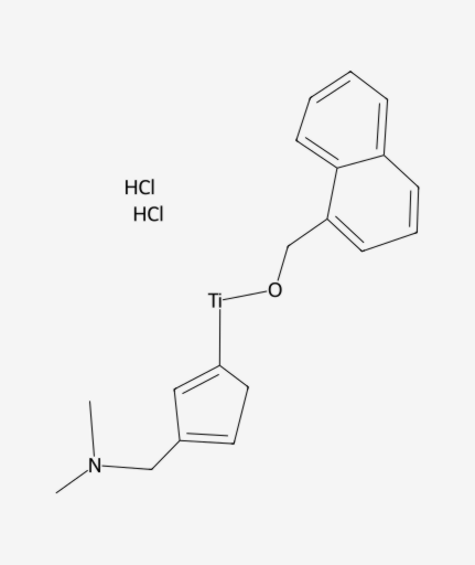 CN(C)CC1=CC[C]([Ti][O]Cc2cccc3ccccc23)=C1.Cl.Cl